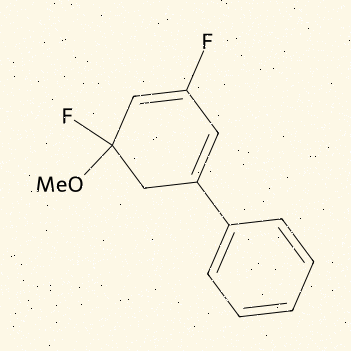 COC1(F)C=C(F)C=C(c2ccccc2)C1